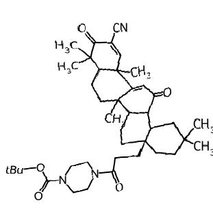 CC1(C)CC[C@]2(CCC(=O)N3CCN(C(=O)OC(C)(C)C)CC3)CCC3C(C(=O)C=C4C5(C)C=C(C#N)C(=O)C(C)(C)C5CCC43C)C2C1